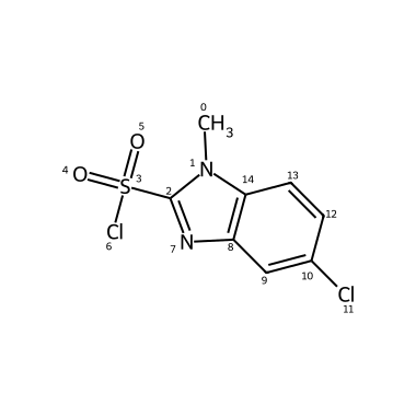 Cn1c(S(=O)(=O)Cl)nc2cc(Cl)ccc21